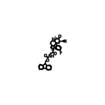 C[C@@H]1C(=O)C(C#N)=C[C@]2(c3ccc(F)cc3)c3nn(C(=O)CNC(=O)OCC4c5ccccc5-c5ccccc54)cc3CC[C@@H]12